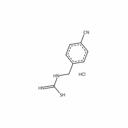 Cl.N#Cc1ccc(CNC(=N)S)cc1